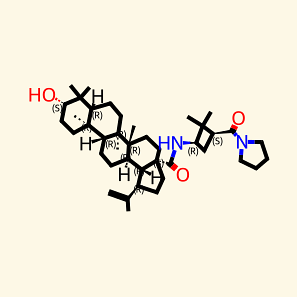 C=C(C)[C@@H]1CC[C@]2(C(=O)N[C@@H]3C[C@H](C(=O)N4CCCC4)C3(C)C)CC[C@]3(C)[C@H](CC[C@@H]4[C@@]5(C)CC[C@H](O)C(C)(C)[C@@H]5CC[C@]43C)[C@@H]12